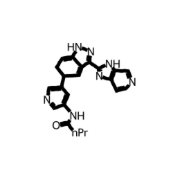 CCCC(=O)Nc1cncc(C2C=c3c(-c4nc5ccncc5[nH]4)n[nH]c3=CC2)c1